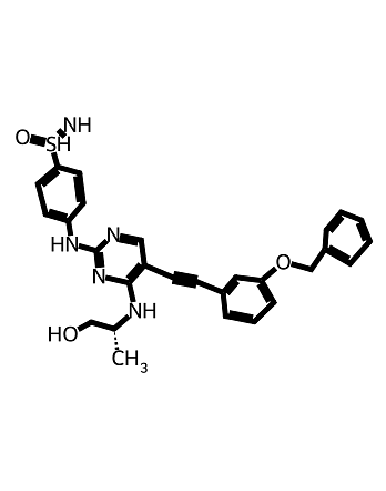 C[C@H](CO)Nc1nc(Nc2ccc([SH](=N)=O)cc2)ncc1C#Cc1cccc(OCc2ccccc2)c1